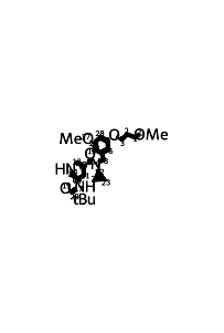 COCCCOc1cc(CN(C(=O)[C@@H]2CNC[C@H](NC(=O)C(C)(C)C)C2)C2CC2)cc(OC)c1